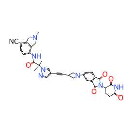 CN1Cc2c(C#N)ccc(NC(=O)C(C)(C)n3cc(C#CC4CN(c5ccc6c(c5)C(=O)N(C5CCC(=O)NC5=O)C6=O)C4)cn3)c2C1